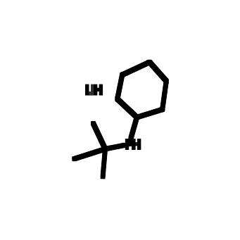 CC(C)(C)PC1CCCCC1.[LiH]